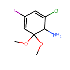 COC1(OC)C=C(I)C=C(Cl)C1N